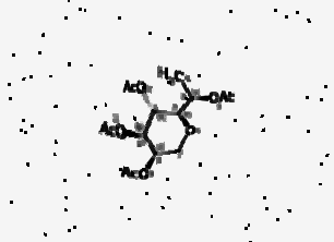 CC(=O)O[C@@H]1[C@@H]([C@@H](C)OC(C)=O)OC[C@@H](OC(C)=O)[C@H]1OC(C)=O